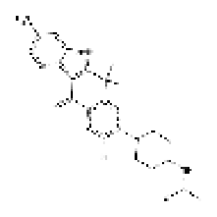 C[S+]([O-])NC1CCN(c2cc3c(cc2Cl)C(=O)c2c([nH]c4cc(N)ccc24)C3(C)C)CC1